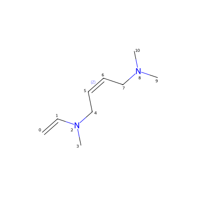 C=CN(C)C/C=C\CN(C)C